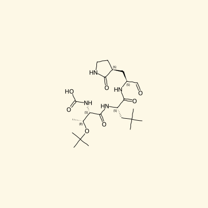 C[C@@H](OC(C)(C)C)[C@H](NC(=O)O)C(=O)N[C@@H](CC(C)(C)C)C(=O)N[C@H](C=O)C[C@@H]1CCNC1=O